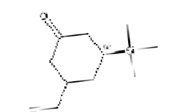 C=CC1CC(=O)C[C@@H]([Si](C)(C)C)C1